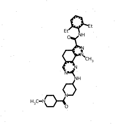 CCc1cccc(CC)c1NC(=O)c1nn(C)c2c1CCc1cnc(NC3CCN(C(=O)C4CCN(C)CC4)CC3)nc1-2